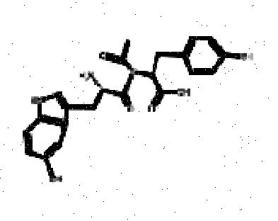 CC(=O)N(C(=O)[C@@H](N)Cc1c[nH]c2ccc(O)cc12)[C@@H](Cc1ccc(O)cc1)C(=O)O